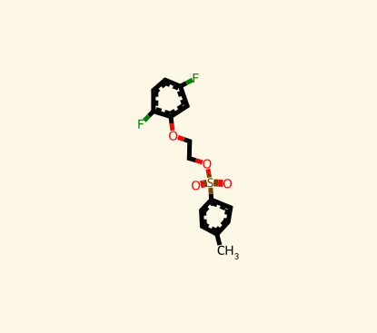 Cc1ccc(S(=O)(=O)OCCOc2cc(F)ccc2F)cc1